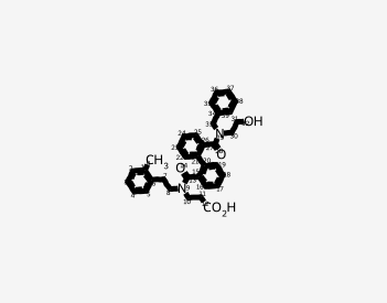 Cc1ccccc1CCN(CCC(=O)O)C(=O)c1ccccc1-c1ccccc1C(=O)N(CCO)Cc1ccccc1